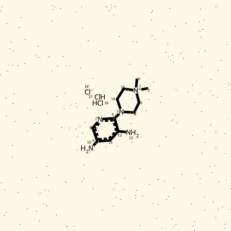 C[N+]1(C)CCN(c2ncc(N)cc2N)CC1.Cl.Cl.[Cl-]